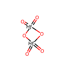 [O]=[Hf]1(=[O])[O][Hf](=[O])(=[O])[O]1